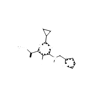 COC(=O)c1nc(C2CC2)nc(N(C)Cc2ccco2)c1Cl